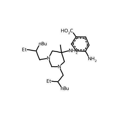 CCCCC(CC)CN1CN(CC(CC)CCCC)CC(C)(N)C1.Nc1ccc(C(=O)O)cc1